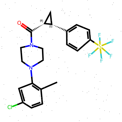 Cc1ccc(Cl)cc1N1CCN(C(=O)[C@@H]2C[C@@H]2c2ccc(S(F)(F)(F)(F)F)cc2)CC1